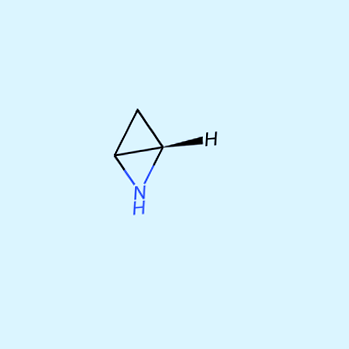 C1C2N[C@@H]12